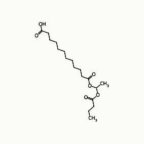 CCCC(=O)OC(C)OC(=O)CCCCCCCCCCC(=O)O